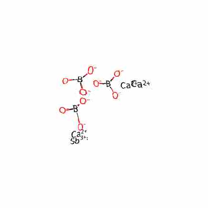 [Ca+2].[Ca+2].[Ca+2].[O-]B([O-])[O-].[O-]B([O-])[O-].[O-]B([O-])[O-].[Sb+3]